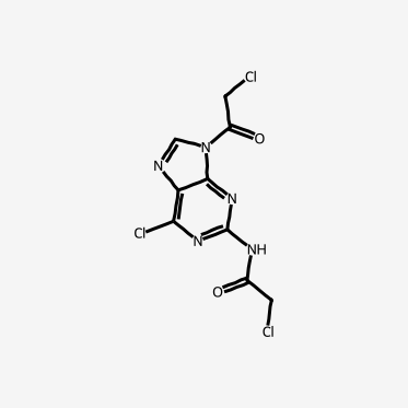 O=C(CCl)Nc1nc(Cl)c2ncn(C(=O)CCl)c2n1